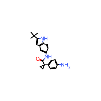 CC(C)(C)c1cc2cc(NC(=O)C3(c4ccc(N)cc4)CC3)ccc2[nH]1